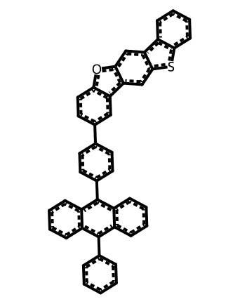 c1ccc(-c2c3ccccc3c(-c3ccc(-c4ccc5oc6cc7c(cc6c5c4)sc4ccccc47)cc3)c3ccccc23)cc1